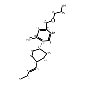 CC/C=C/[C@H]1CC[C@H](c2ccc(COCCC)cc2F)CC1